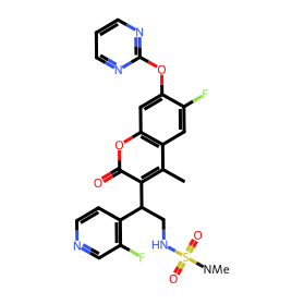 CNS(=O)(=O)NCC(c1ccncc1F)c1c(C)c2cc(F)c(Oc3ncccn3)cc2oc1=O